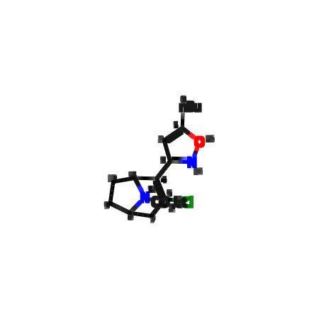 CCCCc1cc(C2=C(Cl)CC3CCC2N3C(=O)OCC)no1